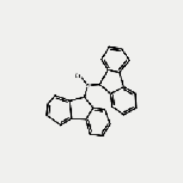 C[CH2][Al]([CH]1c2ccccc2-c2ccccc21)[CH]1c2ccccc2-c2ccccc21